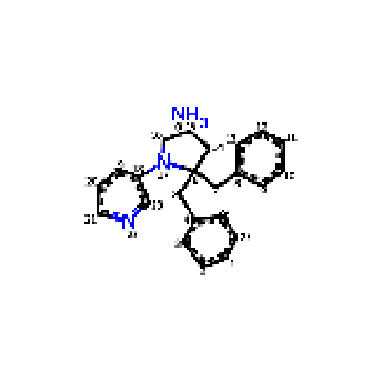 N.c1ccc(CC2(Cc3ccccc3)CCCN2c2cccnc2)cc1